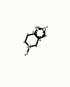 IN1CCc2nocc2C1